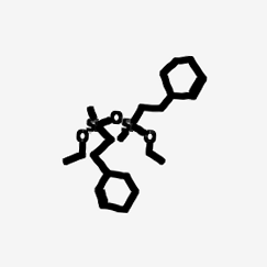 CCO[Si](C)(CCC1C=CCCC1)O[Si](C)(CCC1C=CCCC1)OCC